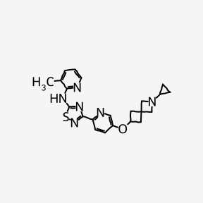 Cc1cccnc1Nc1nc(-c2ccc(OC3CC4(C3)CN(C3CC3)C4)cn2)ns1